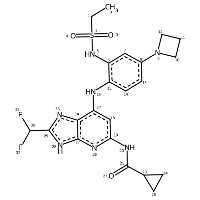 CCS(=O)(=O)Nc1cc(N2CCC2)ccc1Nc1cc(NC(=O)C2CC2)nc2[nH]c(C(F)F)nc12